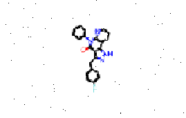 O=c1c2c(Cc3ccc(F)cc3)n[nH]c2c2cccnc2n1-c1ccccc1